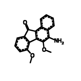 COc1cccc2c1-c1c(OC)c(N)c3ccccc3c1C2=O